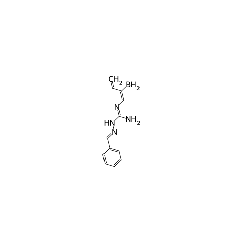 B/C(C=C)=C/N=C(\N)N/N=C/c1ccccc1